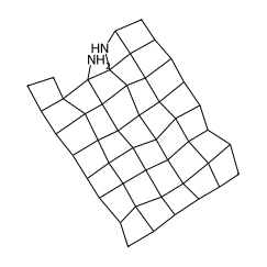 NC12C34CCC3C3C5C6C7C8CC9C%10C%11C%12CC%13C%14C%15C%16C%17C%18CC%19NC1%20C%19%18C%171C%16%17C%15%16C%14%15C%12%13C%11%12C%10%11C98C78C67C56C34C23C%201C%171C63C72C%118C%12%15C%1612